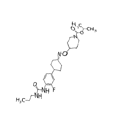 CCCNC(=O)Nc1ccc(C2CCC(=NOC3CCN(C(=O)OC(C)C)CC3)CC2)cc1F